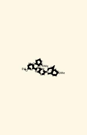 CCOc1cccc(-c2nc3ncc(N(Cc4ccc(OC)cc4)CC4CC4)nc3n2-c2c(OC)cccc2OC)n1